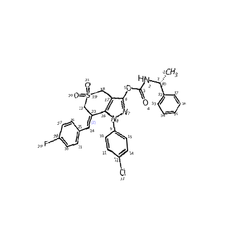 C[C@@H](NC(=O)Oc1nn(-c2ccc(Cl)cc2)c2c1CS(=O)(=O)C/C2=C\c1ccc(F)cc1)c1ccccc1